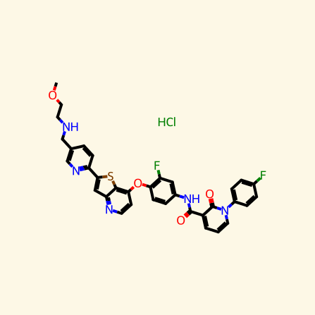 COCCNCc1ccc(-c2cc3nccc(Oc4ccc(NC(=O)c5cccn(-c6ccc(F)cc6)c5=O)cc4F)c3s2)nc1.Cl